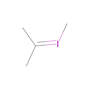 CI=C(C)C